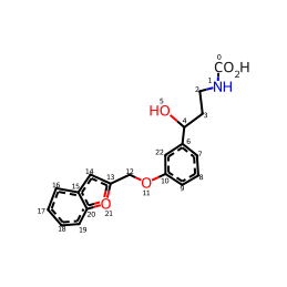 O=C(O)NCCC(O)c1cccc(OCc2cc3ccccc3o2)c1